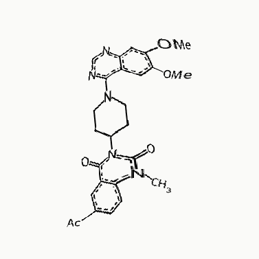 COc1cc2ncnc(N3CCC(n4c(=O)c5cc(C(C)=O)ccc5n(C)c4=O)CC3)c2cc1OC